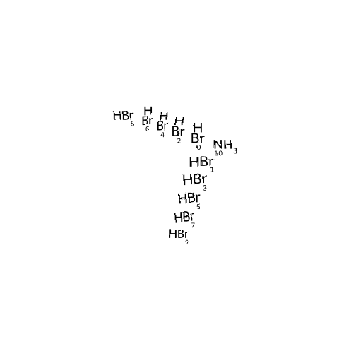 Br.Br.Br.Br.Br.Br.Br.Br.Br.Br.N